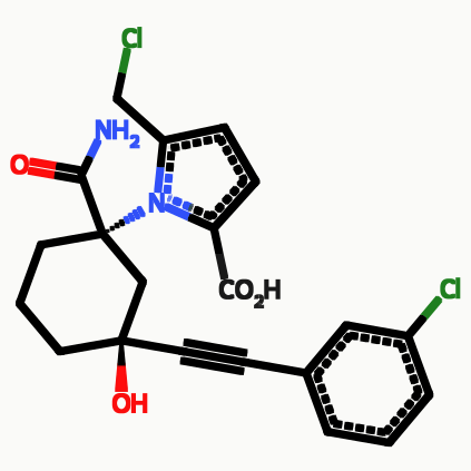 NC(=O)[C@]1(n2c(CCl)ccc2C(=O)O)CCC[C@@](O)(C#Cc2cccc(Cl)c2)C1